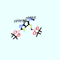 C=NC1=C(SCB2OC(C)(C)C(C)(C)O2)c2sc(B3OC(C)(C)C(C)(C)O3)nc2[Si]1(CCCCCC)CCCCCC